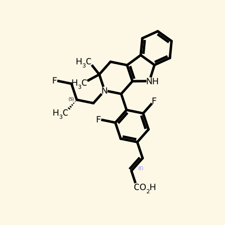 C[C@H](CF)CN1C(c2c(F)cc(/C=C/C(=O)O)cc2F)c2[nH]c3ccccc3c2CC1(C)C